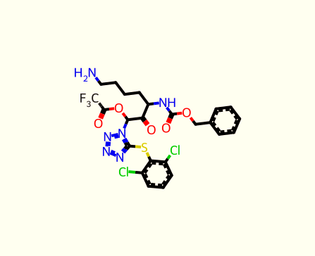 NCCCCC(NC(=O)OCc1ccccc1)C(=O)C(OC(=O)C(F)(F)F)n1nnnc1Sc1c(Cl)cccc1Cl